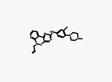 C=CCN1Sc2cnc(Nc3ccc(N4CCN(C)CC4)c(C)c3)nc2-c2cccnc21